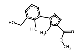 COC(=O)c1csc(-c2cccc(CO)c2C)c1C